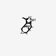 Cc1n[nH]c2c1C1COCC(C2)N1